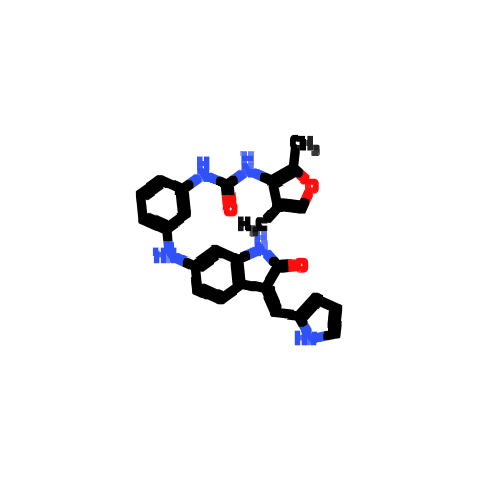 Cc1coc(C)c1NC(=O)Nc1cccc(Nc2ccc3c(c2)NC(=O)/C3=C\c2ccc[nH]2)c1